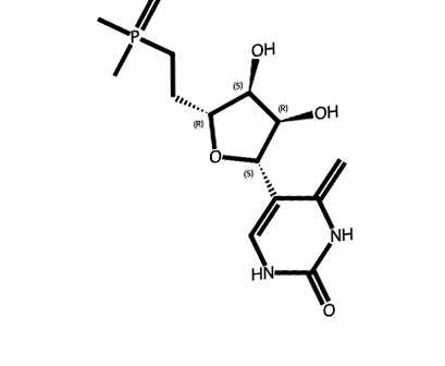 C=C1NC(=O)NC=C1[C@@H]1O[C@H](CCP(=C)(C)C)[C@@H](O)[C@H]1O